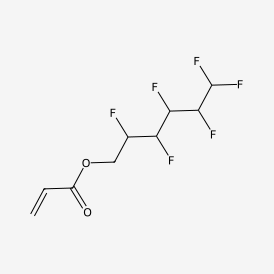 C=CC(=O)OCC(F)C(F)C(F)C(F)C(F)F